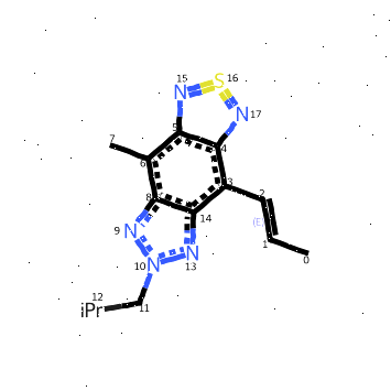 C/C=C/c1c2c(c(C)c3nn(CC(C)C)nc13)N=S=N2